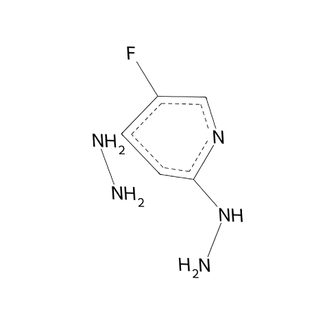 NN.NNc1ccc(F)cn1